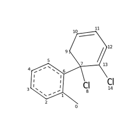 Cc1ccccc1C1(Cl)[CH]C=CC=C1Cl